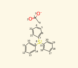 CC(=O)[O-].c1ccc([S+](c2ccccc2)c2ccccc2)cc1